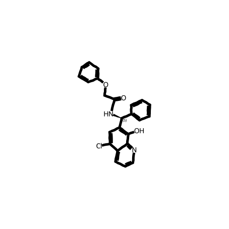 O=C(COc1ccccc1)N[C@@H](c1ccccc1)c1cc(Cl)c2cccnc2c1O